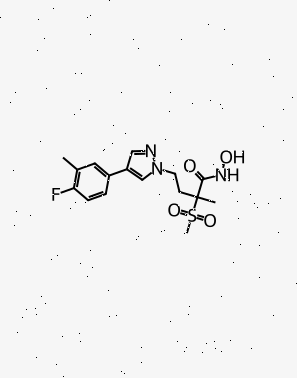 Cc1cc(-c2cnn(CCC(C)(C(=O)NO)S(C)(=O)=O)c2)ccc1F